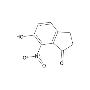 O=C1CCc2ccc(O)c([N+](=O)[O-])c21